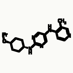 Cc1cnccc1Nc1cnc(N[C@H]2CC[C@H](OC(C)C)CC2)nc1